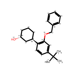 CCCCC(C)(C)c1ccc([C@@H]2CCC[C@@H](O)C2)c(OCc2ccccc2)c1